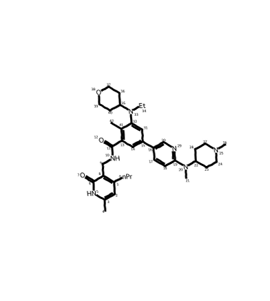 CCCc1cc(C)[nH]c(=O)c1CNC(=O)c1cc(-c2ccc(N(C)C3CCN(C)CC3)nc2)cc(N(CC)C2CCOCC2)c1C